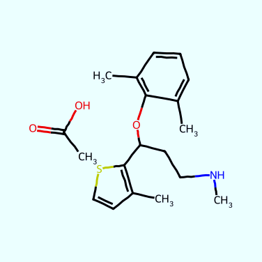 CC(=O)O.CNCCC(Oc1c(C)cccc1C)c1sccc1C